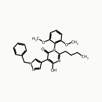 CCCCc1nc(O)c(-c2cnn(Cc3ccccc3)c2)c(=O)n1-c1c(OC)cccc1OC